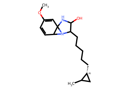 COC1=CC23NC(O)C(CCCCC[C@@H]4CC4C)N2C3C=C1